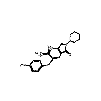 Cc1nc2c(cc1Cc1ccc(Cl)cc1)C(=O)N(C1CCCCC1)C2